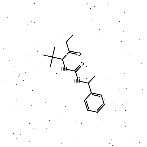 CCC(=O)C(NC(=O)NC(C)c1ccccc1)C(C)(C)C